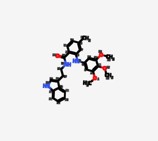 COc1cc(Nc2cc(C)ccc2C(=O)NCCc2c[nH]c3ccccc23)cc(OC)c1OC